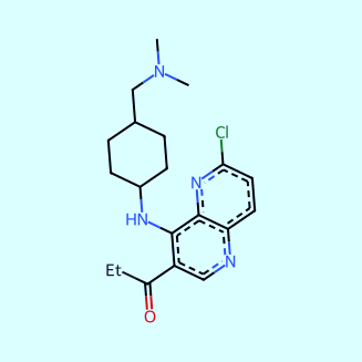 CCC(=O)c1cnc2ccc(Cl)nc2c1NC1CCC(CN(C)C)CC1